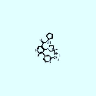 Cc1ncc(C(=O)NC2CCCC2)c(N2CC[C@](C)(N)C2)c1-c1ccnc(C(F)(F)F)c1